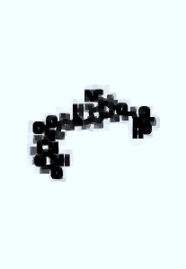 CS(=O)(=O)NCCOc1cc(C#N)c2c(c1)CC(CNCCC1CN(c3ccc4c(n3)NC(=O)CO4)C(=O)O1)C2